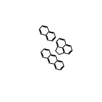 c1cc2c3c(cccc3c1)CC2.c1ccc2cc3ccccc3cc2c1.c1ccc2ccccc2c1